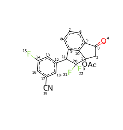 CC(=O)OC12CC(=O)c3cccc(c31)C(c1cc(F)cc(C#N)c1)C2(F)F